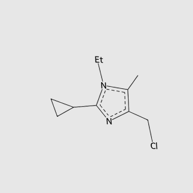 CCn1c(C2CC2)nc(CCl)c1C